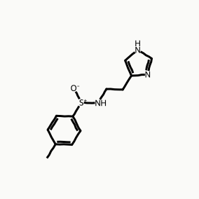 Cc1ccc([S+]([O-])NCCc2c[nH]cn2)cc1